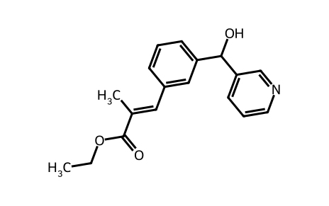 CCOC(=O)/C(C)=C/c1cccc(C(O)c2cccnc2)c1